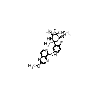 C/N=[S@]1/C[C@@](C)(c2cc(Nc3nccc4nc(OC)cnc34)ccc2F)NC(=N)C1(C)C